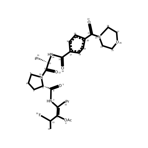 CC(=O)O/C(=C(/NC(=O)[C@@H]1CCCN1C(=O)[C@@H](NC(=O)c1ccc(C(=O)N2CCOCC2)cc1)C(C)C)C(C)C)C(C)F